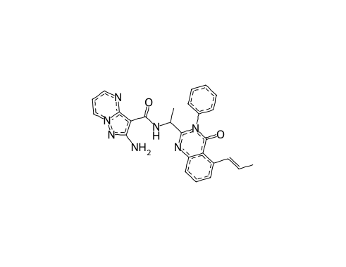 C/C=C/c1cccc2nc(C(C)NC(=O)c3c(N)nn4cccnc34)n(-c3ccccc3)c(=O)c12